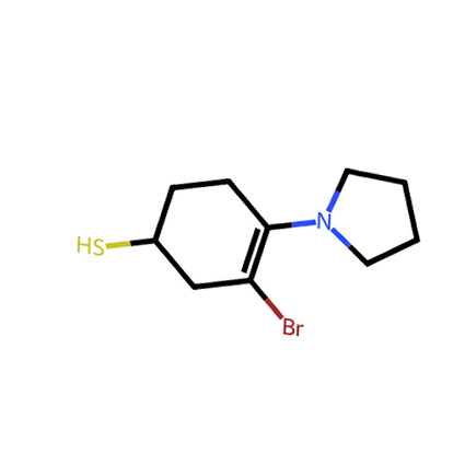 SC1CCC(N2CCCC2)=C(Br)C1